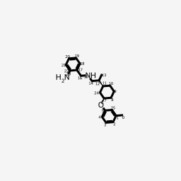 Cc1cccc(O[C@@H]2CCC[C@H](C(C)CNCc3ccccc3N)C2)c1